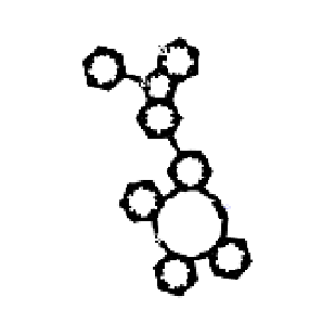 C1=C\c2ccc(-c3ccc4c(c3)c3cccnc3n4-c3ccccc3)cc2-c2ccccc2Sc2ccccc2-c2ccccc2/1